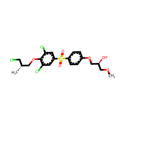 COC[C@H](O)COc1ccc(S(=O)(=O)c2cc(Cl)c(OC[C@H](C)CCl)c(Cl)c2)cc1